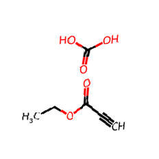 C#CC(=O)OCC.O=C(O)O